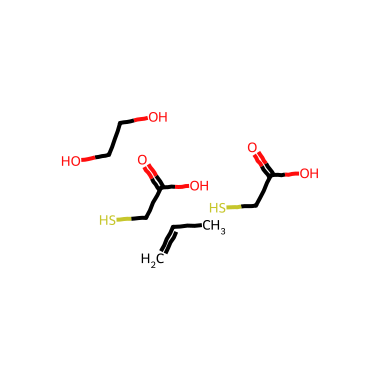 C=CC.O=C(O)CS.O=C(O)CS.OCCO